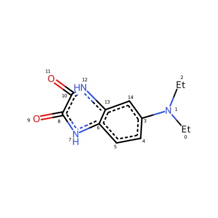 CCN(CC)c1ccc2[nH]c(=O)c(=O)[nH]c2c1